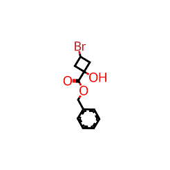 O=C(OCc1ccccc1)C1(O)CC(Br)C1